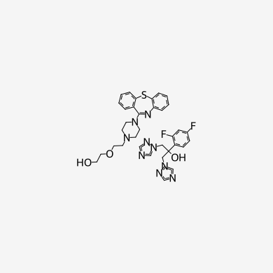 OC(Cn1cncn1)(Cn1cncn1)c1ccc(F)cc1F.OCCOCCN1CCN(C2=Nc3ccccc3Sc3ccccc32)CC1